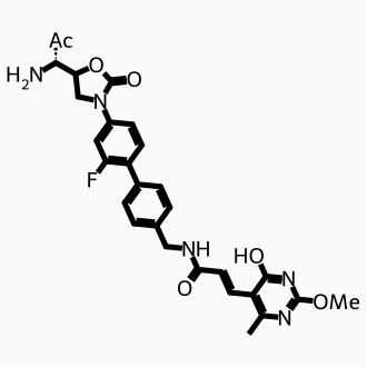 COc1nc(C)c(/C=C/C(=O)NCc2ccc(-c3ccc(N4CC([C@H](N)C(C)=O)OC4=O)cc3F)cc2)c(O)n1